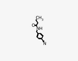 CCCC(=O)NCc1ccc(C#N)cc1